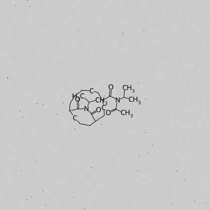 CC(=O)N(C(=O)C1CCCCCC2CCCC(CC1)C(=O)N(C(C)C)C2=O)C(C)C